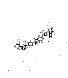 c1cc(-c2nc3ccc(-c4cnc([C@@H]5CCCN5)[nH]4)cc3s2)ccc1-c1cnc(C2CCCN2)[nH]1